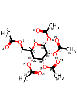 CC(=O)OC[C@H]1O[C@H](OC(C)=O)[C@H](OC(C)=O)[C@H](OC(C)=O)[C@@H]1OC(C)=O